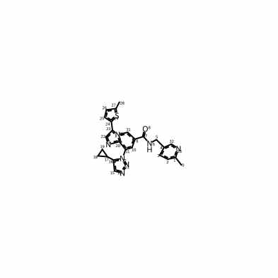 Cc1ccc(CNC(=O)c2cc(-n3nncc3C3CC3)c3ncc(-c4ccc(C)s4)n3c2)cn1